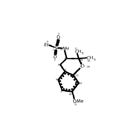 CCS(=O)(=O)NC1Cc2ccc(OC)cc2OC1(C)C